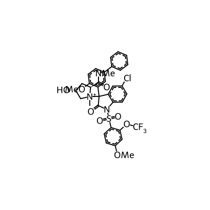 CNC(=O)[C@@H]1C[C@@H](O)C[N+]1(C)C1(c2cc(-c3ccccc3)ccc2OC)C(=O)N(S(=O)(=O)c2ccc(OC)cc2OC(F)(F)F)c2ccc(Cl)cc21